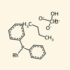 CCCC.[O-][Cl+3]([O-])([O-])O.[Rh][P](c1ccccc1)c1ccccc1